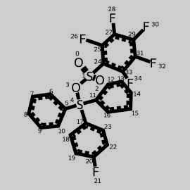 O=S(=O)(OS(c1ccccc1)(c1ccccc1)c1ccc(F)cc1)c1c(F)c(F)c(F)c(F)c1F